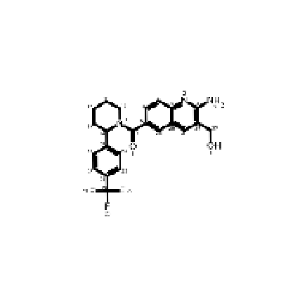 Nc1nc2ccc(C(=O)N3CCCCC3c3ccc(C(F)(F)F)cc3)cc2cc1CO